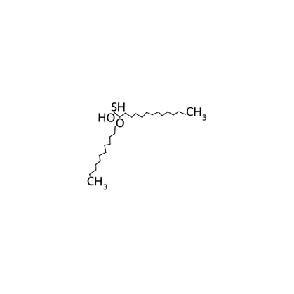 CCCCCCCCCCCCCC(OCCCCCCCCCCCC)C(O)S